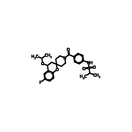 CC(C)OC1CC2(CCN(C(=O)c3ccc(NS(=O)(=O)C(C)C)cc3)CC2)Oc2ccc(F)cc21